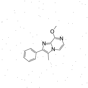 COc1nccn2c(C)c(-c3ccccc3)nc12